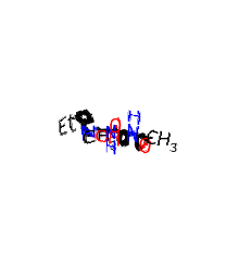 CCc1ccccc1CN(C)C[C@@H](O)CNC(=O)c1cccc(NC2CCO[C@H](C)C2)c1